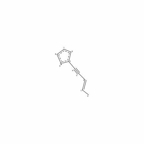 CC=CC#Cc1cccs1